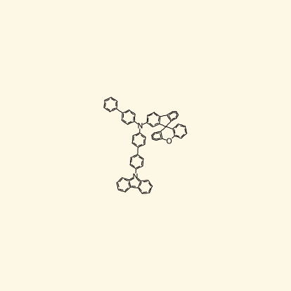 c1ccc(-c2ccc(N(c3ccc(-c4ccc(-n5c6ccccc6c6ccccc65)cc4)cc3)c3ccc4c(c3)C3(c5ccccc5Oc5ccccc53)c3ccccc3-4)cc2)cc1